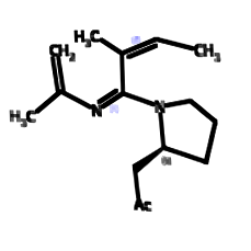 C=C(C)/N=C(\C(C)=C/C)N1CCC[C@H]1CC(C)=O